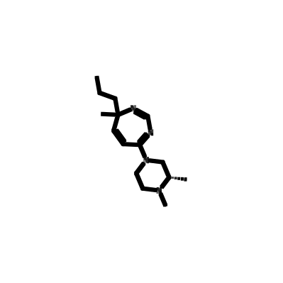 CCCC1(C)C=CC(N2CCN(C)[C@@H](C)C2)=NC=N1